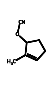 CC1=CCCC1OC#N